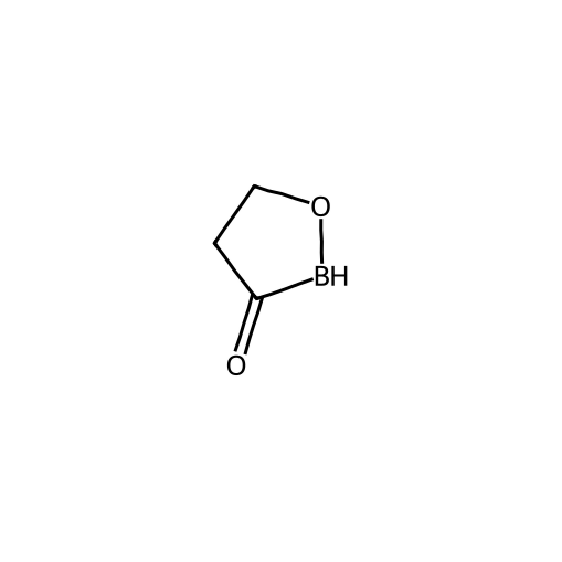 O=C1BOCC1